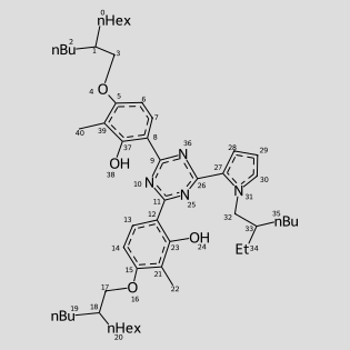 CCCCCCC(CCCC)COc1ccc(-c2nc(-c3ccc(OCC(CCCC)CCCCCC)c(C)c3O)nc(-c3cccn3CC(CC)CCCC)n2)c(O)c1C